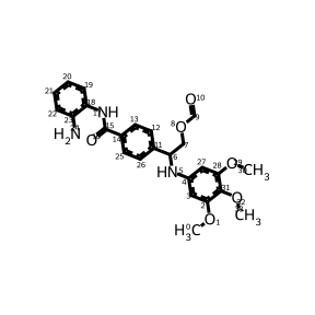 COc1cc(NC(COC=O)c2ccc(C(=O)Nc3ccccc3N)cc2)cc(OC)c1OC